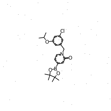 CC(C)Oc1cc(Cl)cc(Cn2ccc(B3OC(C)(C)C(C)(C)O3)cc2=O)c1